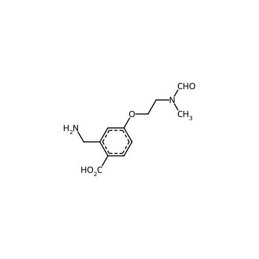 CN(C=O)CCOc1ccc(C(=O)O)c(CN)c1